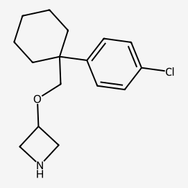 Clc1ccc(C2(COC3CNC3)CCCCC2)cc1